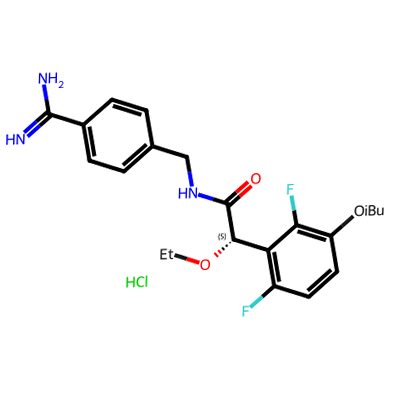 CCO[C@H](C(=O)NCc1ccc(C(=N)N)cc1)c1c(F)ccc(OCC(C)C)c1F.Cl